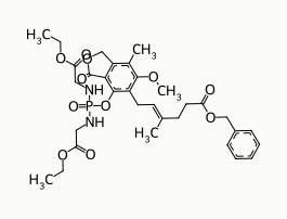 CCOC(=O)CNP(=O)(NCC(=O)OCC)Oc1c(C/C=C(\C)CCC(=O)OCc2ccccc2)c(OC)c(C)c2c1C(=O)OC2